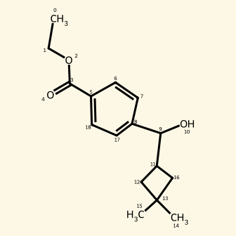 CCOC(=O)c1ccc(C(O)C2CC(C)(C)C2)cc1